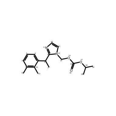 Cc1cccc(C(C)c2nccn2COC(=O)OC(C)C)c1C